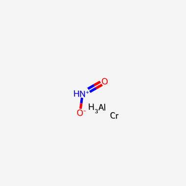 O=[NH+][O-].[AlH3].[Cr]